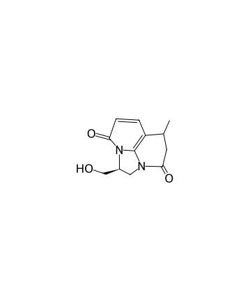 CC1CC(=O)N2C[C@@H](CO)n3c2c1ccc3=O